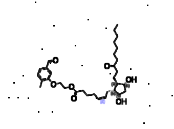 CCCCCCCC(=O)CC[C@@H]1[C@@H](C/C=C\CCCC(=O)OCCOc2cc(C=O)ccc2C)[C@@H](O)C[C@H]1O